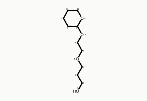 OCCCOCCOC1CCCCO1